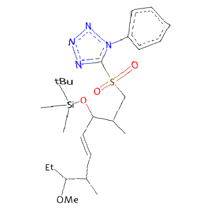 CCC(OC)C(C)/C=C/C(O[Si](C)(C)C(C)(C)C)C(C)CS(=O)(=O)c1nnnn1-c1ccccc1